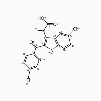 CC(C(=O)O)c1c(C(=O)c2ccc(Cl)cn2)[nH]c2ccc(Cl)cc12